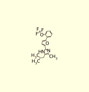 Cc1nc(-c2ccc(-c3ccccc3OC(F)(F)F)o2)[nH]c1CC(C)C